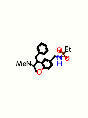 CCS(=O)(=O)NCc1ccc2c(c1)C(Cc1ccccc1)[C@H](NC)CO2